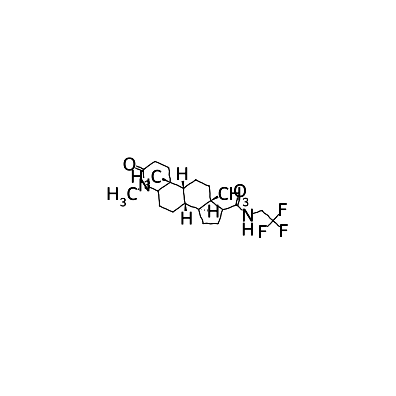 CN1C(=O)CC[C@@]2(C)C1CC[C@@H]1[C@H]2CC[C@]2(C)C(C(=O)NCC(F)(F)F)CC[C@@H]12